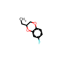 CCC1COc2ccc(F)cc2O1